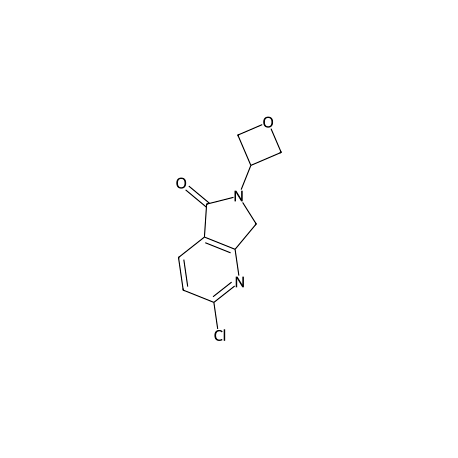 O=C1c2ccc(Cl)nc2CN1C1COC1